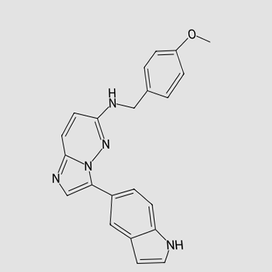 COc1ccc(CNc2ccc3ncc(-c4ccc5[nH]ccc5c4)n3n2)cc1